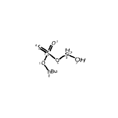 CCCCOS(=O)(=S)O[SiH2]O